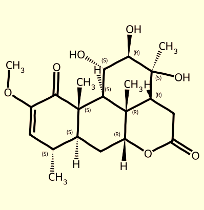 COC1=C[C@@H](C)[C@@H]2C[C@H]3OC(=O)C[C@H]4[C@](C)(O)[C@H](O)[C@@H](O)[C@H]([C@@]2(C)C1=O)[C@@]34C